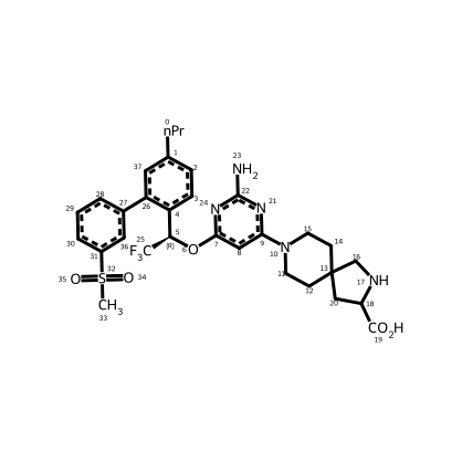 CCCc1ccc([C@@H](Oc2cc(N3CCC4(CC3)CNC(C(=O)O)C4)nc(N)n2)C(F)(F)F)c(-c2cccc(S(C)(=O)=O)c2)c1